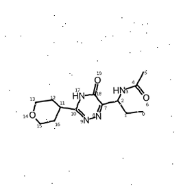 CCC(NC(C)=O)c1nnc(C2CCOCC2)[nH]c1=O